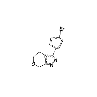 Brc1ccc(-c2nnc3n2CCOC3)cc1